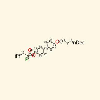 CCCCCCCCCCCCCCOc1ccc(-c2ccc(OC(=O)C(F)CC(C)C)cc2)cc1